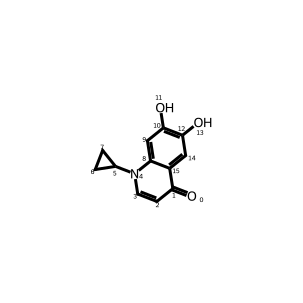 O=c1ccn(C2CC2)c2cc(O)c(O)cc12